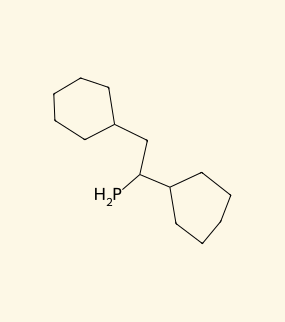 PC(CC1CCCCC1)C1CCCCC1